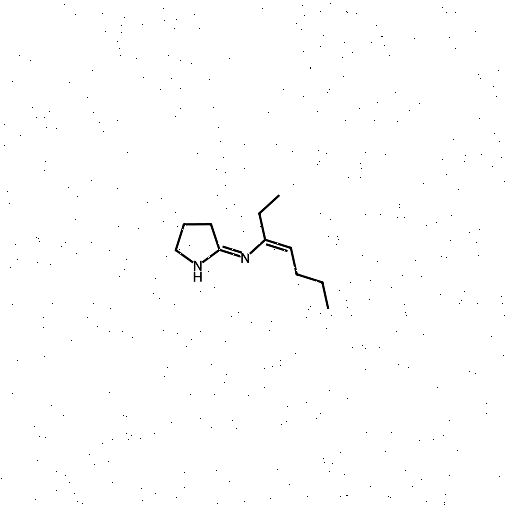 CCC/C=C(CC)\N=C1/CCCN1